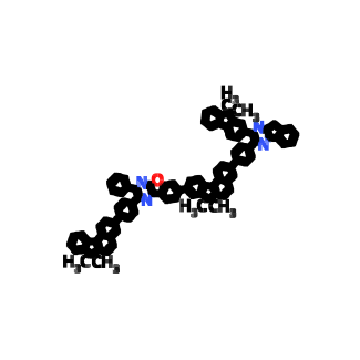 CC1(C)c2ccccc2-c2ccc(-c3nc4c(nc3-c3ccc(-c5ccc6c7c(ccc6c5)C(C)(C)c5cc(-c6ccc8c(c6)oc6nc(-c9ccccc9)c(-c9ccc(-c%10ccc%11c%12c(ccc%11c%10)C(C)(C)c%10ccccc%10-%12)cc9)nc68)ccc5-7)cc3)-c3ccccc3C4)cc21